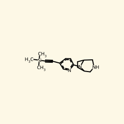 C[Si](C)(C)C#Cc1ccc(N2C3CCC2CNC3)nc1